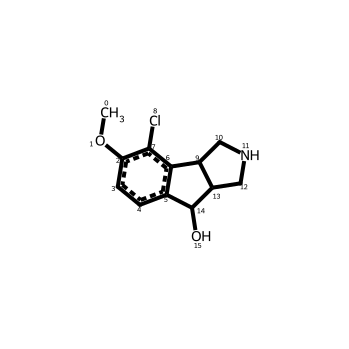 COc1ccc2c(c1Cl)C1CNCC1C2O